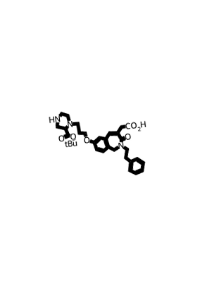 CC(C)(C)OC(=O)C1CNCCN1CCCOc1ccc2c(c1)C=C(CC(=O)O)C(=O)N(CCc1ccccc1)C2